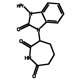 CCCn1c(=O)n(C2CCCC(=O)NC2=O)c2ccccc21